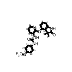 CC1(C)C(=O)Nc2cccc(Oc3ncccc3NC(=O)Nc3ccc(OC(F)(F)F)cc3)c21